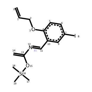 C=CCOc1ccc(I)cc1/C=N/C(=C)O[Si](C)(C)C